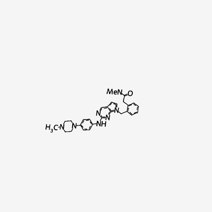 CNC(=O)Cc1ccccc1Cn1ccc2cnc(Nc3ccc(N4CCN(C)CC4)cc3)nc21